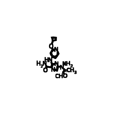 C[C@H](CC=O)N(N)c1cnc(C(N)=O)c(Nc2ccnc(OC3CCC3)c2)n1